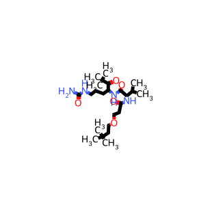 CC(C)C(NC(=O)CCOCCC(C)(C)C)C(=O)NC(CCCNC(N)=O)C(=O)C(C)(C)C